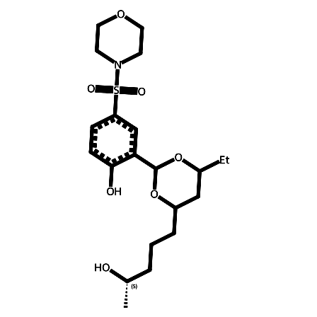 CCC1CC(CCC[C@H](C)O)OC(c2cc(S(=O)(=O)N3CCOCC3)ccc2O)O1